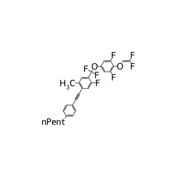 CCCCCc1ccc(C#Cc2cc(F)c(C(F)(F)Oc3cc(F)c(OC=C(F)F)c(F)c3)cc2C)cc1